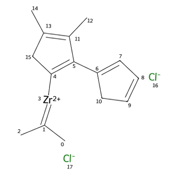 C[C](C)=[Zr+2][C]1=C(C2=CC=CC2)C(C)=C(C)C1.[Cl-].[Cl-]